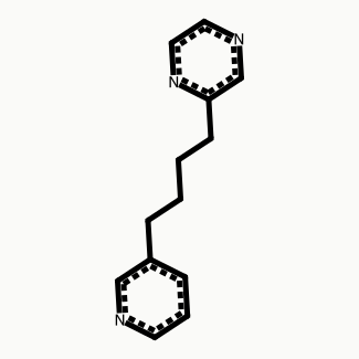 c1cncc(CCCCc2cnccn2)c1